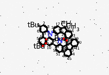 CC(C)(C)c1ccc(N2c3cc(C(C)(C)C)cc4c3B(c3c2ccc2c3-c3ccccc3C2(C)C)N2c3ccccc3C3(c5ccccc5-c5ccccc53)c3cccc-4c32)c(-c2ccccc2)c1